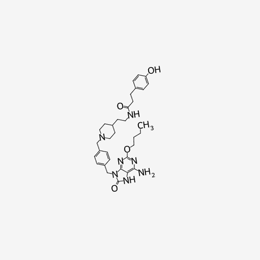 CCCCOc1nc(N)c2[nH]c(=O)n(Cc3ccc(CN4CCC(CCNC(=O)CCc5ccc(O)cc5)CC4)cc3)c2n1